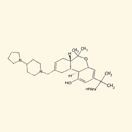 CCCCCCC(C)(C)C1=CC2OC(C)(C)[C@H]3CC=C(CN4CCC(N5CCCC5)CC4)CC3[C@@H]2C(O)=C1